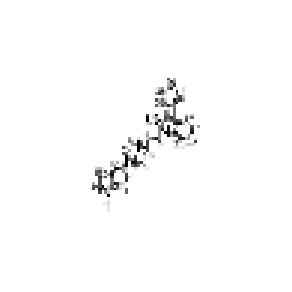 O=c1n(CCN2CCN(c3ccc4[nH]ccc4c3)CC2)c2ccccc2n1C1=CCCCC1